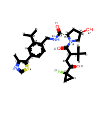 Cc1ncsc1-c1ccc(CNC(=O)[C@@H]2C[C@@H](O)CN2C(=O)C(CC(=O)C2(F)CC2)C(C)(C)C)c(C(C)C)c1